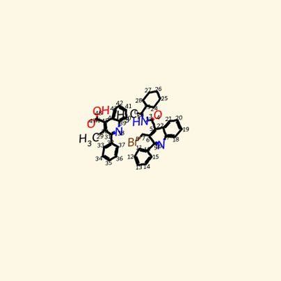 C[C@H](NC(=O)c1c(CBr)c(-c2ccccc2)nc2ccccc12)C1CCCCC1.Cc1c(-c2ccccc2)nc2ccccc2c1C(=O)O